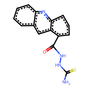 NC(=S)NNC(=O)c1cccc2nc3ccccc3cc12